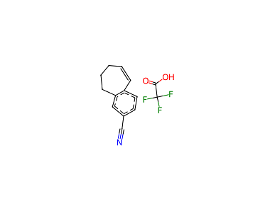 N#Cc1ccc2c(c1)CCCC=C2.O=C(O)C(F)(F)F